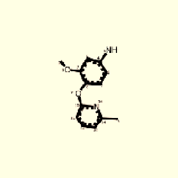 COc1cc([NH])ccc1Oc1cccc(C)n1